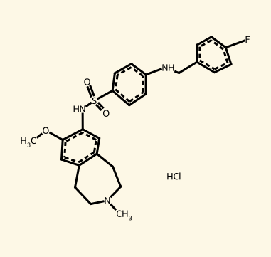 COc1cc2c(cc1NS(=O)(=O)c1ccc(NCc3ccc(F)cc3)cc1)CCN(C)CC2.Cl